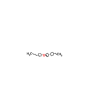 CCCCC[C@H]1CC[C@H](COC2=CCC([C@H]3CC[C@H](CCC)CC3)CC2)CC1